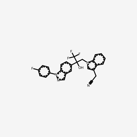 N#CCc1cn(CC(O)(c2ccc3c(cnn3-c3ccc(F)cc3)c2)C(F)(F)F)c2ccccc12